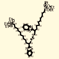 CCO[Si](CCCCCCCCCCC(CSSSCC(CCCCCCCCCC[Si](OCC)(OCC)OCC)c1nc2ccccc2s1)c1nc2ccccc2s1)(OCC)OCC